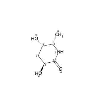 C[C@@H]1NC(=O)[C@@H](O)C[C@@H]1O